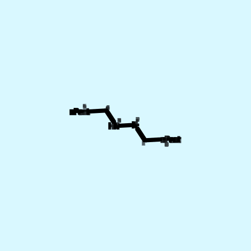 CCCCCC[N]NCCCCCC